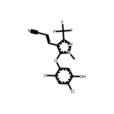 Cn1nc(C(F)(F)F)c(C=CC#N)c1Oc1cc(O)c(Cl)cc1Cl